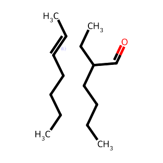 C/C=C/CCCC.CCCCC(C=O)CC